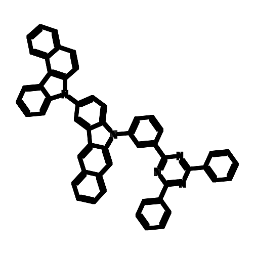 c1ccc(-c2nc(-c3ccccc3)nc(-c3cccc(-n4c5ccc(-n6c7ccccc7c7c8ccccc8ccc76)cc5c5cc6ccccc6cc54)c3)n2)cc1